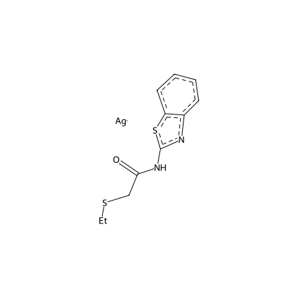 CCSCC(=O)Nc1nc2ccccc2s1.[Ag]